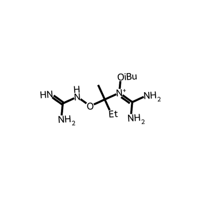 CCC(C)(ONC(=N)N)[N+](OCC(C)C)=C(N)N